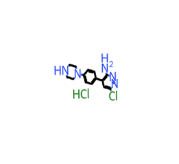 Cl.Nc1nnc(Cl)cc1-c1ccc(N2CCNCC2)cc1